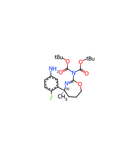 CC(C)(C)OC(=O)N(C(=O)OC(C)(C)C)C1=N[C@](C)(c2cc(N)ccc2F)CCCO1